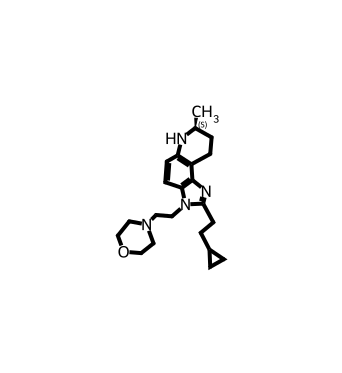 C[C@H]1CCc2c(ccc3c2nc(CCC2CC2)n3CCN2CCOCC2)N1